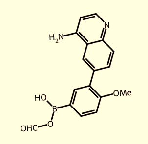 COc1ccc(B(O)OC=O)cc1-c1ccc2nccc(N)c2c1